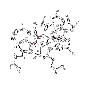 CC(=O)OC[C@H]1O[C@H](Br)[C@H](OC(C)=O)[C@@H](OC(C)=O)[C@@H]1O[C@@H]1O[C@H](COC(C)=O)[C@@H](O[C@@H]2O[C@H](COC(C)=O)[C@@H](OC(C)=O)[C@H](OC(C)=O)[C@H]2OC(C)=O)[C@H](OC(C)=O)[C@H]1OC(C)=O